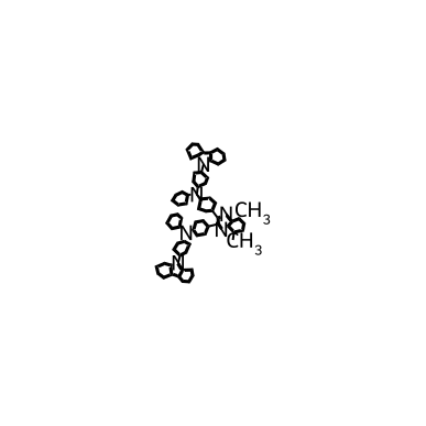 Cc1ccc(C)c2nc(-c3ccc(N(c4ccccc4)c4ccc(-n5c6ccccc6c6ccccc65)cc4)cc3)c(-c3ccc(N(c4ccccc4)c4ccc(-n5c6ccccc6c6ccccc65)cc4)cc3)nc12